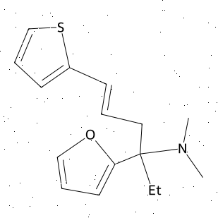 CCC(CC=Cc1cccs1)(c1ccco1)N(C)C